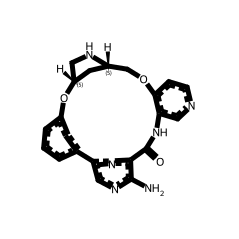 Nc1ncc2nc1C(=O)Nc1cnccc1OC[C@@H]1C[C@@H](CN1)Oc1cccc-2c1